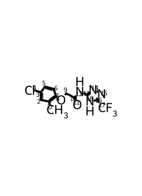 Cc1cc(Cl)ccc1OCC(=O)Nc1nnc(C(F)(F)F)[nH]1